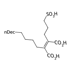 CCCCCCCCCCCCCCC(C(=O)O)=C(CCCS(=O)(=O)O)C(=O)O